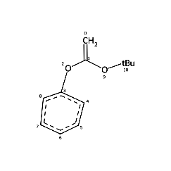 C=C(Oc1ccccc1)OC(C)(C)C